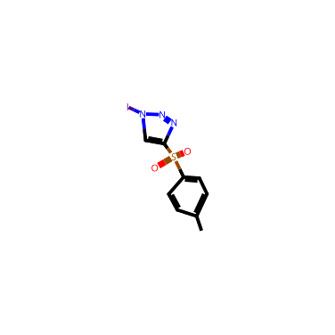 Cc1ccc(S(=O)(=O)c2cn(I)nn2)cc1